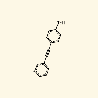 [TeH]c1ccc(C#Cc2c[c]ccc2)cc1